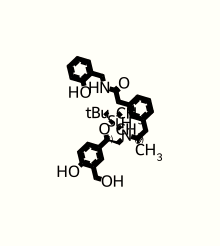 C[C@H](Cc1cccc(CC(=O)NCc2ccccc2O)c1)NC[C@H](O[Si](C)(C)C(C)(C)C)c1ccc(O)c(CO)c1